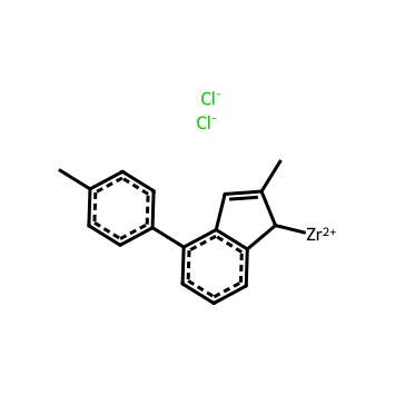 CC1=Cc2c(-c3ccc(C)cc3)cccc2[CH]1[Zr+2].[Cl-].[Cl-]